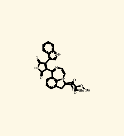 CC(C)(C)OC(=O)CC[N@@+]12C=CN=C(C3=C(c4c[nH]c5ccccc45)C(=O)NC3=O)c3cccc(c31)CC2C(=O)OC(C)(C)C